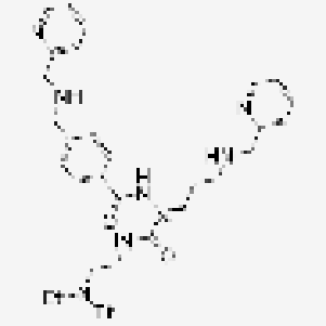 CCN(CC)CCNC(=O)[C@H](CCCNCc1ccccn1)NC(=O)c1ccc(CNCc2ccccn2)cc1